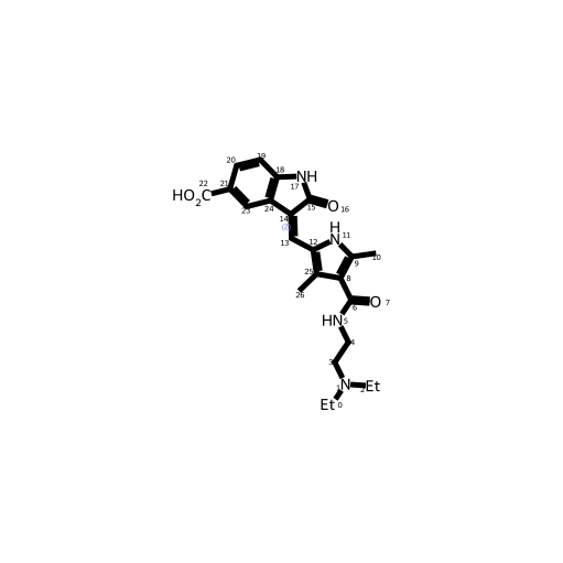 CCN(CC)CCNC(=O)c1c(C)[nH]c(/C=C2\C(=O)Nc3ccc(C(=O)O)cc32)c1C